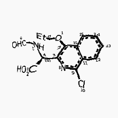 CCOc1c([C@H](NC=O)C(=O)O)nc(Cl)c2ccccc12